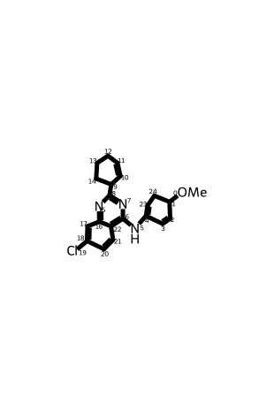 COC1C=CC(Nc2nc(C3C=CCCC3)nc3cc(Cl)ccc23)=CC1